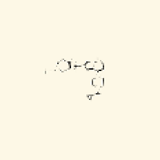 CC(C)N1CCc2nc(-c3cc4c(N5CCN(C(=O)C6CC6)CC5)ccnn4c3)sc2C1